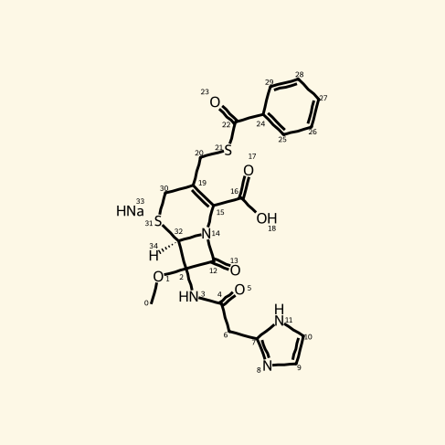 COC1(NC(=O)Cc2ncc[nH]2)C(=O)N2C(C(=O)O)=C(CSC(=O)c3ccccc3)CS[C@@H]21.[NaH]